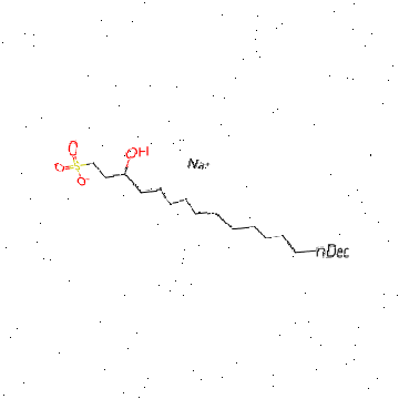 CCCCCCCCCCCCCCCCCCCCCC(O)CCS(=O)(=O)[O-].[Na+]